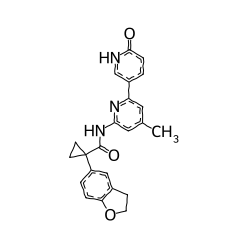 Cc1cc(NC(=O)C2(c3ccc4c(c3)CCO4)CC2)nc(-c2ccc(=O)[nH]c2)c1